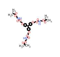 C=C(C)C(=O)OCCNC(=O)OCCOc1ccc(C(c2ccc(OCCOC(=O)NCCOC(=O)C(=C)C)cc2)c2ccc(OCCOC(=O)NCCOC(=O)C(=C)C)cc2)cc1